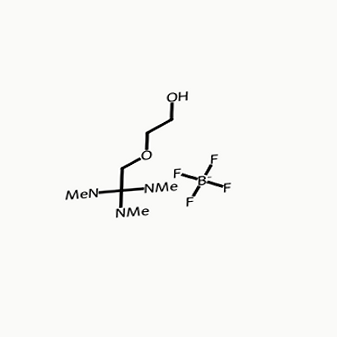 CNC(COCCO)(NC)NC.F[B-](F)(F)F